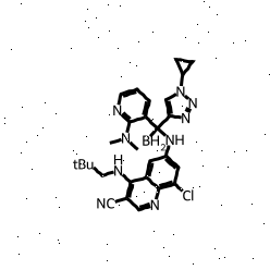 BC(Nc1cc(Cl)c2ncc(C#N)c(NCC(C)(C)C)c2c1)(c1cn(C2CC2)nn1)c1cccnc1N(C)C